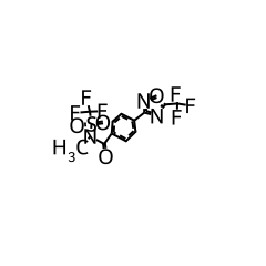 CN(C(=O)c1ccc(-c2noc(C(F)(F)F)n2)cc1)S(=O)(=O)C(F)(F)F